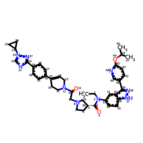 CCN(C(=O)[C@@H]1CCN(CC(=O)N2CC=C(c3ccc(-c4ncn(C5CC5)n4)cc3)CC2)C1)c1ccc2[nH]nc(-c3ccc(OC(C)C)nc3)c2c1